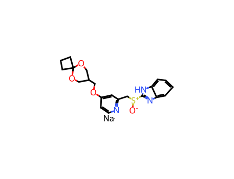 [Na].[O-][S+](Cc1cc(OCC2COC3(CCC3)OC2)ccn1)c1nc2ccccc2[nH]1